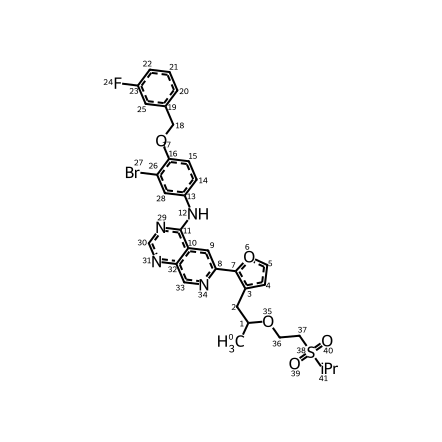 CC(Cc1ccoc1-c1cc2c(Nc3ccc(OCc4cccc(F)c4)c(Br)c3)ncnc2cn1)OCCS(=O)(=O)C(C)C